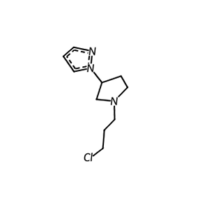 ClCCCN1CCC(n2cccn2)C1